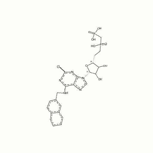 O=P(O)(O)CP(=O)(O)CC[C@H]1O[C@@H](n2cnc3c(NCc4ccc5ccccc5c4)nc(Cl)nc32)C(O)C1O